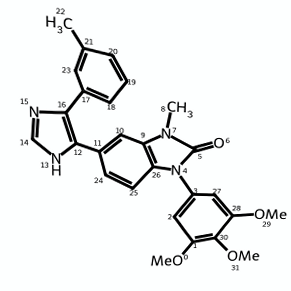 COc1cc(-n2c(=O)n(C)c3cc(-c4[nH]cnc4-c4cccc(C)c4)ccc32)cc(OC)c1OC